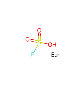 O=S(=O)(O)F.[Eu]